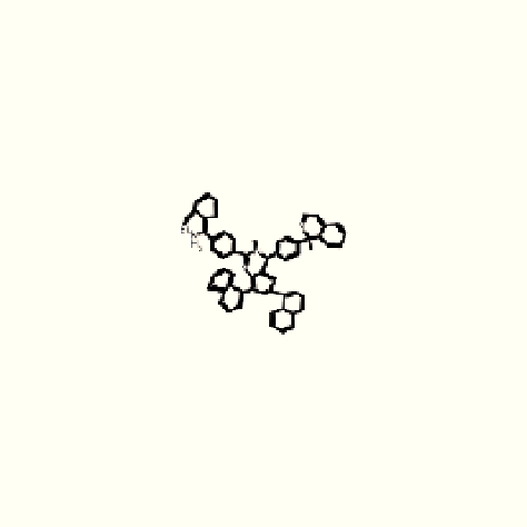 CC/C=c1/cccc/c1=C(/N)c1ccc(C2=Nc3c(-c4cccc5ccccc45)cc(C4=CC=CC5C=CC=CC45)cc3C(c3ccc(C4(C)N=CC=C5C=CC=CC54)cc3)N2C)cc1